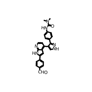 CN(C)C(=O)Nc1ccc(-c2n[nH]cc2-c2ccnc3[nH]c(-c4ccc(C=O)cc4)cc23)cc1